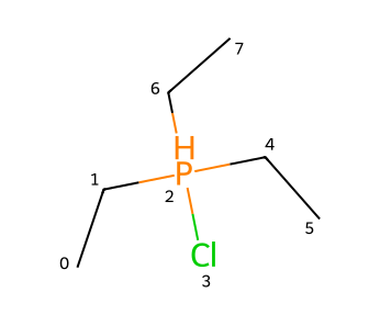 CC[PH](Cl)(CC)CC